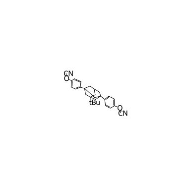 CC(C)(C)C12CC3CC(c4ccc(OC#N)cc4)(CC(c4ccc(OC#N)cc4)(C3)C1)C2